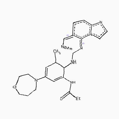 CCC(=O)NC1=CC(N2CCCOCC2)=CC(C)C1NC/N=c1\c(=C/NC)ccc2nccn12